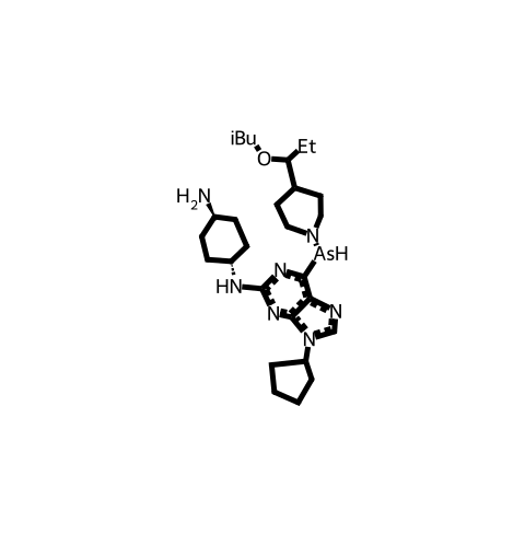 CCC(C)OC(CC)C1CCN([AsH]c2nc(N[C@H]3CC[C@H](N)CC3)nc3c2ncn3C2CCCC2)CC1